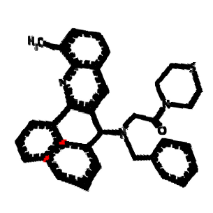 Cc1cccc2cc(C(c3ccccc3)N(CC(=O)N3CCSCC3)Cc3ccccc3)c(-c3ccccc3)nc12